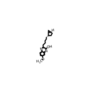 COc1ccc2nc(CCCCC[C@H]3CC[C@@H]4CC34)c(O)nc2c1